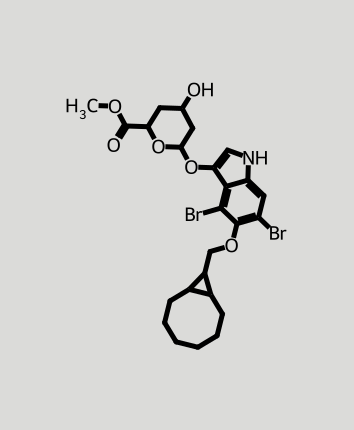 COC(=O)C1CC(O)CC(Oc2c[nH]c3cc(Br)c(OCC4C5CCCCCCC54)c(Br)c23)O1